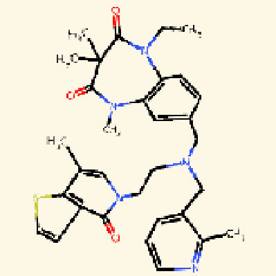 CCN1C(=O)C(C)(C)C(=O)N(C)c2cc(CN(CCn3cc(C)c4sccc4c3=O)Cc3cccnc3C)ccc21